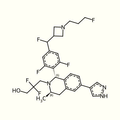 C[C@@H]1Cc2cc(-c3cn[nH]c3)ccc2[C@@H](c2c(F)cc(C(F)C3CN(CCCF)C3)cc2F)N1CC(F)(F)CO